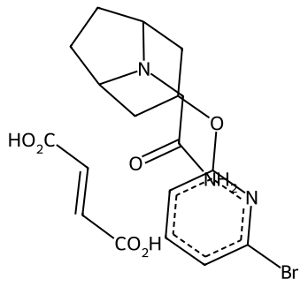 NC(=O)CN1C2CCC1CC(Oc1cccc(Br)n1)C2.O=C(O)C=CC(=O)O